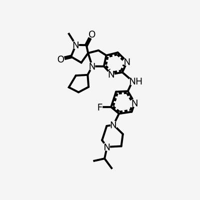 CC(C)N1CCN(c2cnc(Nc3ncc4c(n3)N(C3CCCC3)C3(CC(=O)N(C)C3=O)C4)cc2F)CC1